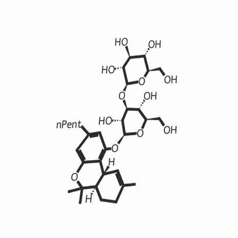 CCCCCc1cc(O[C@@H]2O[C@H](CO)[C@@H](O)[C@H](O[C@@H]3O[C@H](CO)[C@@H](O)[C@H](O)[C@H]3O)[C@H]2O)c2c(c1)OC(C)(C)[C@@H]1CCC(C)=C[C@@H]21